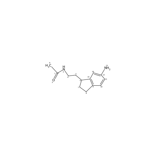 CC(=O)NCCC1CCc2ccc(N)cc21